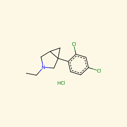 CCN1CC2CC2(c2ccc(Cl)cc2Cl)C1.Cl